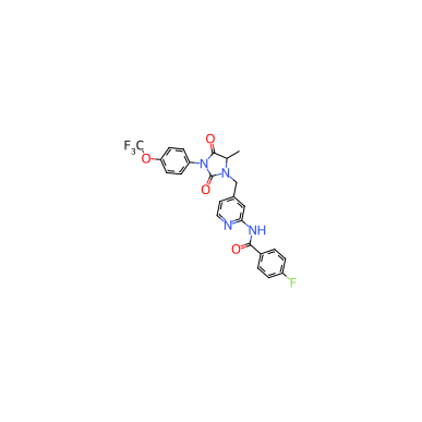 CC1C(=O)N(c2ccc(OC(F)(F)F)cc2)C(=O)N1Cc1ccnc(NC(=O)c2ccc(F)cc2)c1